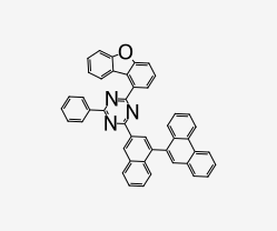 c1ccc(-c2nc(-c3cc(-c4cc5ccccc5c5ccccc45)c4ccccc4c3)nc(-c3cccc4oc5ccccc5c34)n2)cc1